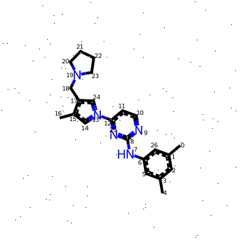 Cc1cc(C)cc(Nc2nccc(-n3cc(C)c(CN4CCCC4)c3)n2)c1